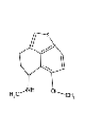 CNC1CCc2csc3ccc(OC)c1c23